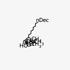 CCCCCCCCCCCCCCCCCCC(COC(C)=O)CC(CC)(OP(=O)([O-])O)[N+](C)(C)C